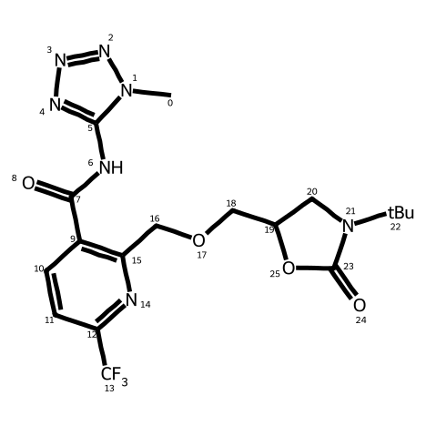 Cn1nnnc1NC(=O)c1ccc(C(F)(F)F)nc1COCC1CN(C(C)(C)C)C(=O)O1